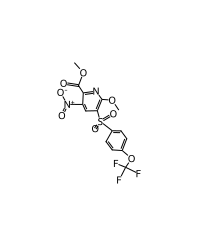 COC(=O)c1nc(OC)c(S(=O)(=O)c2ccc(OC(F)(F)F)cc2)cc1[N+](=O)[O-]